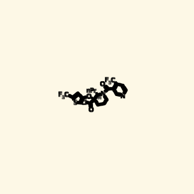 CCC[C@H]1N(C(=O)c2cnccc2C(F)(F)F)CCC[C@]1(Oc1csc(C(F)(F)F)c1)C(=O)Cl